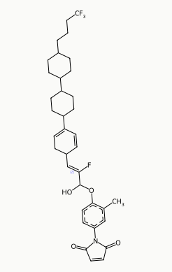 Cc1cc(N2C(=O)C=CC2=O)ccc1OC(O)/C(F)=C/C1C=CC(C2CCC(C3CCC(CCCC(F)(F)F)CC3)CC2)=CC1